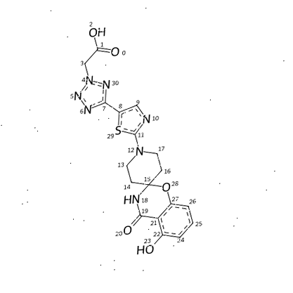 O=C(O)Cn1nnc(-c2cnc(N3CCC4(CC3)NC(=O)c3c(O)cccc3O4)s2)n1